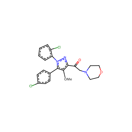 COc1c(C(=O)CN2CCOCC2)nn(-c2ccccc2Cl)c1-c1ccc(Cl)cc1